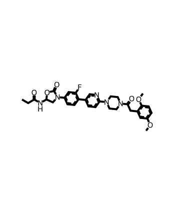 CCC(=O)NC1CN(c2ccc(-c3ccc(N4CCN(C(=O)Cc5cc(OC)ccc5OC)CC4)nc3)c(F)c2)C(=O)O1